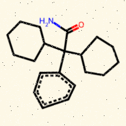 NC(=O)C(c1ccccc1)(C1CCCCC1)C1CCCCC1